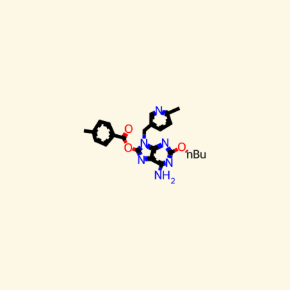 CCCCOc1nc(N)c2nc(OC(=O)c3ccc(C)cc3)n(Cc3ccc(C)nc3)c2n1